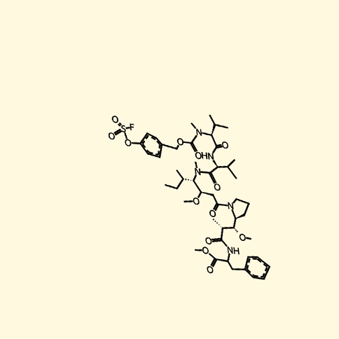 CCC(C)[C@@H]([C@@H](CC(=O)N1CCC[C@H]1[C@H](OC)[C@@H](C)C(=O)NC(Cc1ccccc1)C(=O)OC)OC)N(C)C(=O)[C@@H](NC(=O)[C@H](C(C)C)N(C)C(=O)OCc1ccc(OS(=O)(=O)F)cc1)C(C)C